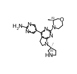 C[C@H]1COCCN1c1nc(-c2cnc(N)nc2)c2c(n1)N([C@@]1(C)CCNC1)CC2